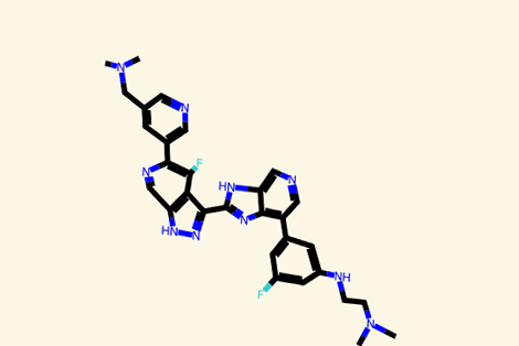 CN(C)CCNc1cc(F)cc(-c2cncc3[nH]c(-c4n[nH]c5cnc(-c6cncc(CN(C)C)c6)c(F)c45)nc23)c1